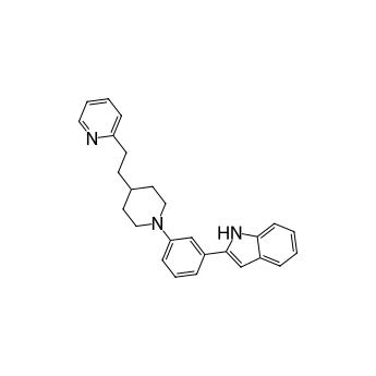 c1ccc(CCC2CCN(c3cccc(-c4cc5ccccc5[nH]4)c3)CC2)nc1